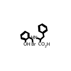 O=C(O)C(Cc1ccccc1)NC(Br)c1ccccc1O